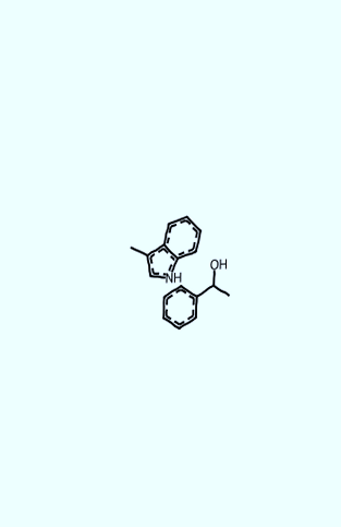 CC(O)c1ccccc1.Cc1c[nH]c2ccccc12